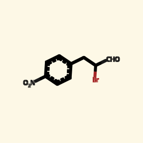 O=CC(Br)Cc1ccc([N+](=O)[O-])cc1